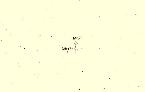 [Mn+2].[Mn+2].[O-2].[S-2]